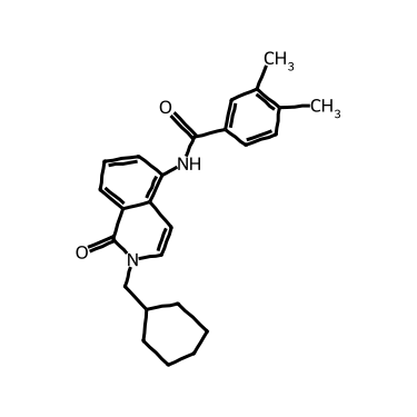 Cc1ccc(C(=O)Nc2cccc3c(=O)n(CC4CCCCC4)ccc23)cc1C